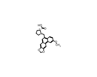 COc1ccc2c(CN3CCC[C@@H]3C(=O)O)cc3cc4c(cc3c2c1)OCO4